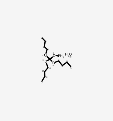 CCCCOC(OP)(OCCCC)OCCCC.O